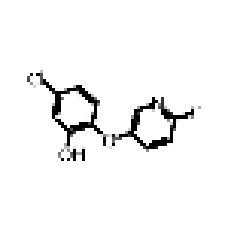 Oc1cc(Cl)ccc1Oc1ccc(Cl)nc1